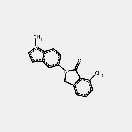 Cc1cccc2c1C(=O)N(c1ccc3c(ccn3C)c1)C2